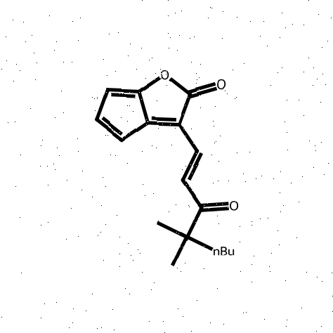 CCCCC(C)(C)C(=O)C=CC1=C2C=CC=C2OC1=O